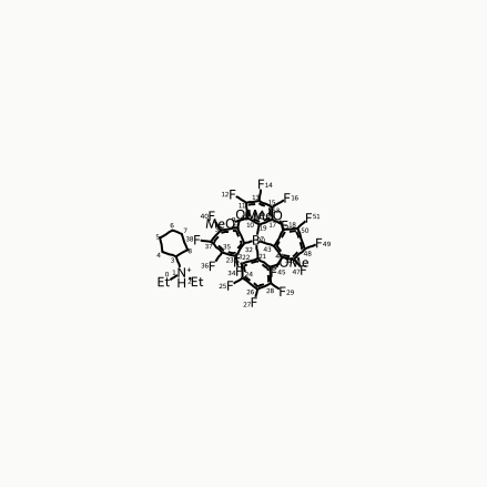 CC[NH+](CC)C1CCCCC1.COc1c(F)c(F)c(F)c(F)c1[B-](c1c(F)c(F)c(F)c(F)c1OC)(c1c(F)c(F)c(F)c(F)c1OC)c1c(F)c(F)c(F)c(F)c1OC